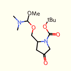 COC(OCC1CC(=O)CN1C(=O)OC(C)(C)C)N(C)C